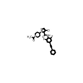 CC(=O)N1CCC(n2ncc(Cl)c2C(=O)Nc2c(F)cc(C#Cc3ccccc3)cc2F)CC1